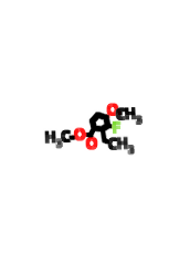 CCOC(=O)c1ccc(OC)c(F)c1CC